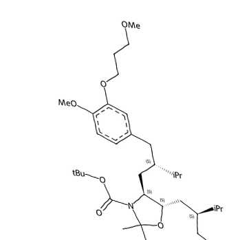 COCCCOc1cc(C[C@@H](C[C@H]2[C@H](C[C@H](CO)C(C)C)OC(C)(C)N2C(=O)OC(C)(C)C)C(C)C)ccc1OC